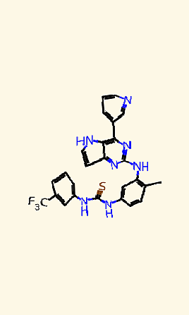 Cc1ccc(NC(=S)Nc2cccc(C(F)(F)F)c2)cc1Nc1nc(-c2cccnc2)c2[nH]ccc2n1